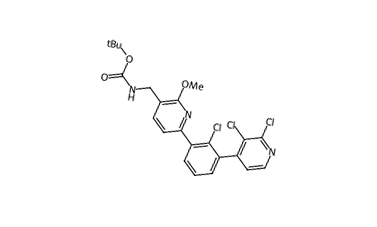 COc1nc(-c2cccc(-c3ccnc(Cl)c3Cl)c2Cl)ccc1CNC(=O)OC(C)(C)C